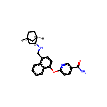 NC(=O)c1ccc(Oc2ccc(CN[C@H]3C[C@@H]4CC[C@@H]3C4)c3ccccc23)nc1